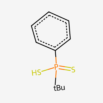 CC(C)(C)P(=S)(S)c1ccccc1